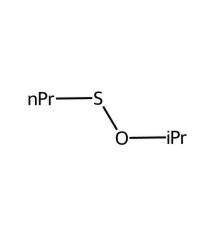 [CH2]CCSOC(C)C